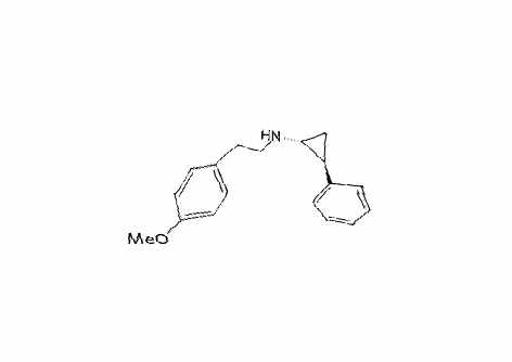 COc1ccc(CCN[C@@H]2C[C@H]2c2ccccc2)cc1